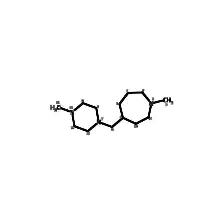 CN1CCCC(CN2CCN(C)CC2)CC1